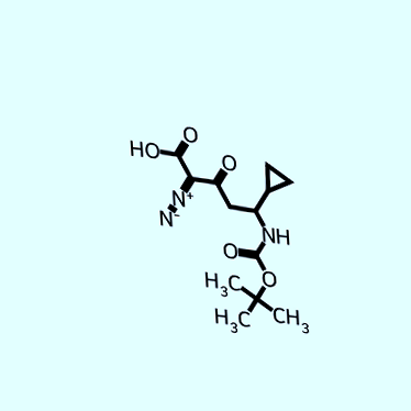 CC(C)(C)OC(=O)NC(CC(=O)C(=[N+]=[N-])C(=O)O)C1CC1